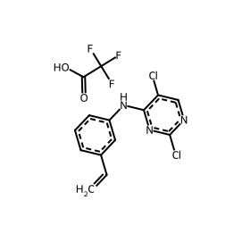 C=Cc1cccc(Nc2nc(Cl)ncc2Cl)c1.O=C(O)C(F)(F)F